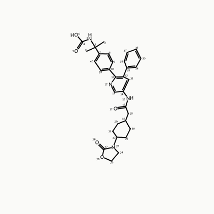 CC(C)(NC(=O)O)c1ccc(-c2ncc(NC(=O)CC3CCC(N4CCOC4=O)CC3)cc2-c2ccccc2)cc1